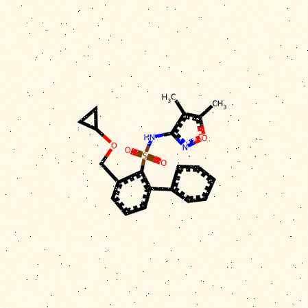 Cc1onc(NS(=O)(=O)c2c(COC3CC3)cccc2-c2ccccc2)c1C